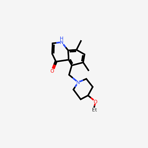 CCOC1CCN(Cc2c(C)cc(C)c3[nH]ccc(=O)c23)CC1